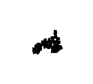 CC(F)(F)c1nc(C23CCC(CN(C(=O)C4CC(O)(C(F)(F)F)C4)c4cc(F)cc(C#N)c4)(CC2)CC3)no1